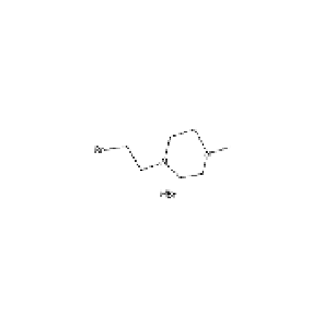 Br.CN1CCN(CCBr)CC1